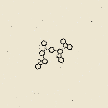 c1ccc(N(c2ccc(-c3cc(-n4c5ccccc5c5ccccc54)cc4c3sc3ccccc34)cc2)c2cccc(-c3cccc4c3oc3ccccc34)c2)cc1